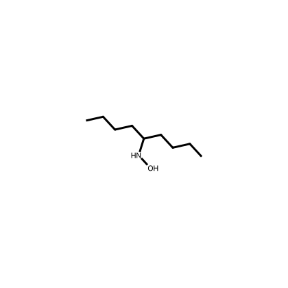 CCCCC(CCCC)NO